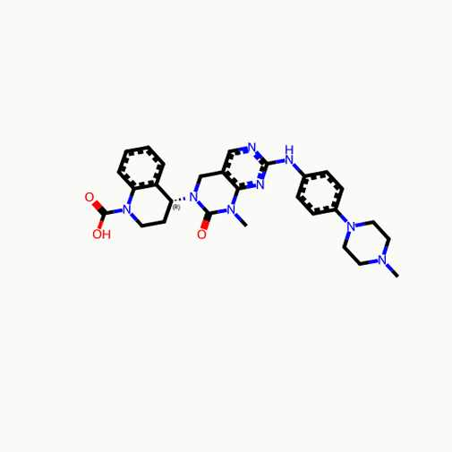 CN1CCN(c2ccc(Nc3ncc4c(n3)N(C)C(=O)N([C@@H]3CCN(C(=O)O)c5ccccc53)C4)cc2)CC1